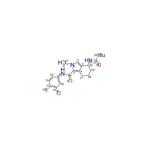 Cn1cc2c(c1C(=O)Nc1ccc(F)c(Cl)c1)CCCC2NC(=O)C(C)(C)C